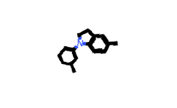 Cc1ccc2c(c1)CCN2C1CCCC(C)C1